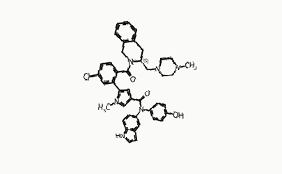 CN1CCN(C[C@@H]2Cc3ccccc3CN2C(=O)c2ccc(Cl)cc2-c2cc(C(=O)N(c3ccc(O)cc3)c3ccc4[nH]ccc4c3)cn2C)CC1